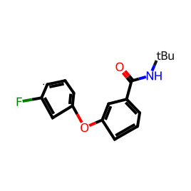 CC(C)(C)NC(=O)c1cccc(Oc2cc[c]c(F)c2)c1